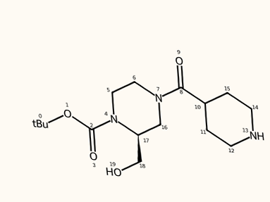 CC(C)(C)OC(=O)N1CCN(C(=O)C2CCNCC2)C[C@H]1CO